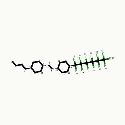 CCCC[C@H]1CC[C@H](CC[C@H]2CC[C@H](C(F)(F)C(F)(F)C(F)(F)C(F)(F)C(F)(F)C(F)(F)F)CC2)CC1